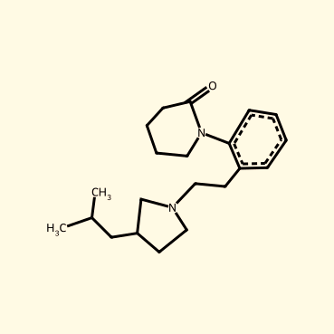 CC(C)CC1CCN(CCc2ccccc2N2CCCCC2=O)C1